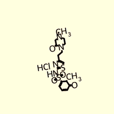 CC1C(=O)C=CC=C1S(=O)(=O)Nc1nc(CCN2CCN(C)CC2=O)cs1.Cl